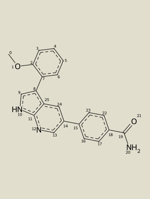 COc1ccccc1-c1c[nH]c2ncc(-c3ccc(C(N)=O)cc3)cc12